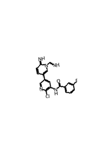 N=Cn1cc(-c2cnc(Cl)c(NC(=O)c3cccc(F)c3)c2)ccc1=N